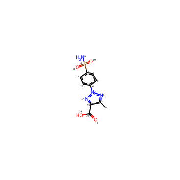 Cc1nn(-c2ccc(S(N)(=O)=O)cc2)nc1C(=O)O